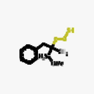 CO[SiH2]C(C)(Cc1ccccc1)SSS